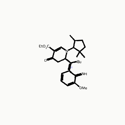 CCOC(=O)C1=CN(C2C(C)CCC2(C)C)C(/C(=C2\C=CC=C(OC)C2=N)C(C)CC)CC1=O